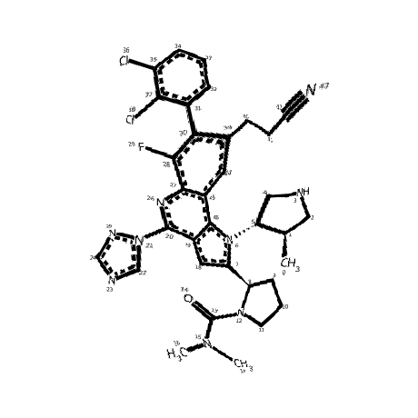 C[C@@H]1CNC[C@H]1n1c([C@H]2CCCN2C(=O)N(C)C)cc2c(-n3cncn3)nc3c(F)c(-c4cccc(Cl)c4Cl)c(CCC#N)cc3c21